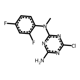 CN(c1nc(N)nc(Cl)n1)c1ccc(F)cc1F